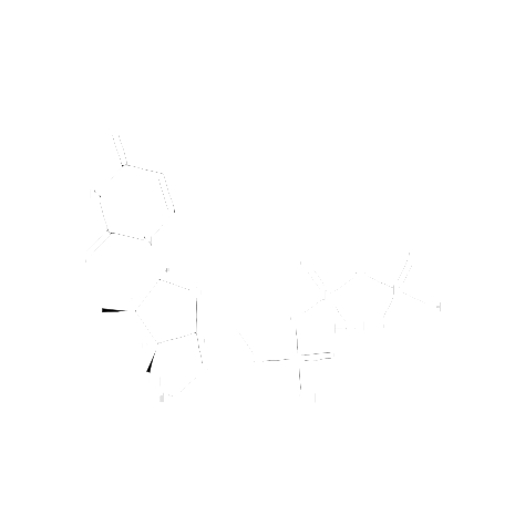 CC(C)O[C@]1(COP(=O)(S)OP(=O)(O)OP(=O)(O)O)O[C@@H](n2ccc(=O)[nH]c2=O)[C@H](F)[C@@H]1O